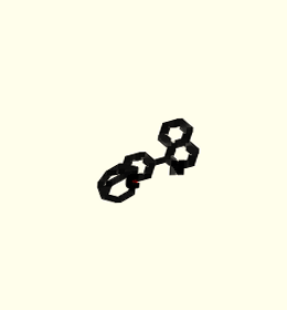 c1ccc2c(-c3ccc4c(c3)C3CC5CC(CC4C5)C3)nccc2c1